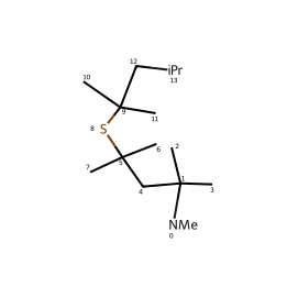 CNC(C)(C)CC(C)(C)SC(C)(C)CC(C)C